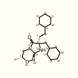 C[C@@H]1CN2C(=O)[C@@](CCC3CCCCC3)(CC3CCCCC3)NC2=NO1